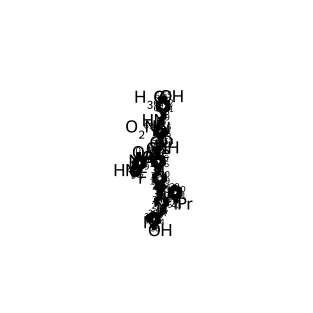 COc1nc2[nH]cc(F)c2cc1Oc1cc(N2CCC3(CC2)CC(N2CCN(Cc4ccnc(O)c4)C[C@H]2c2ccccc2C(C)C)C3)ccc1C(=O)NS(=O)(=O)c1cnc(NCC2CCC(C)(O)CC2)c([N+](=O)[O-])c1